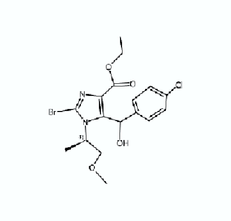 CCOC(=O)c1nc(Br)n([C@H](C)COC)c1C(O)c1ccc(Cl)cc1